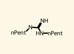 CCCCC[N]C(=N)NCCCCC